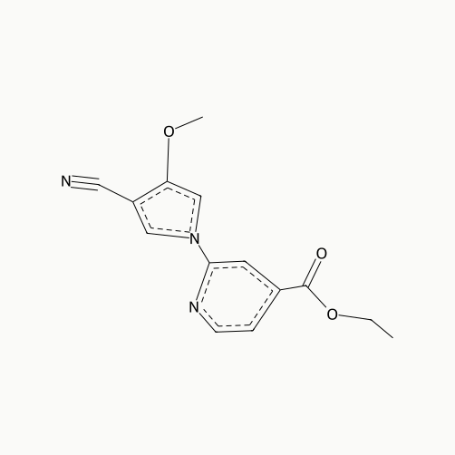 CCOC(=O)c1ccnc(-n2cc(C#N)c(OC)c2)c1